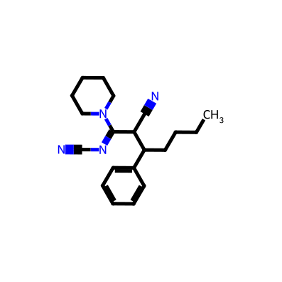 CCCCC(c1ccccc1)C(C#N)/C(=N/C#N)N1CCCCC1